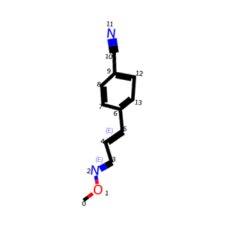 CO/N=C/C=C/c1ccc(C#N)cc1